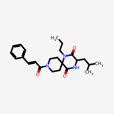 CCCN1C(=O)C(CC(C)C)NC(=O)C12CCN(C(=O)/C=C/c1ccccc1)CC2